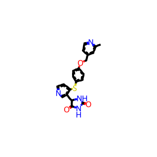 Cc1cc(COc2ccc(Sc3ccncc3C3NC(=O)NC3=O)cc2)ccn1